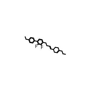 CCCC1=CCC(/C=C/CCc2ccc(-c3ccc(CC)cc3)c(F)c2F)CC1